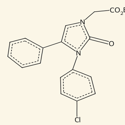 CCOC(=O)Cn1cc(-c2ccccc2)n(-c2ccc(Cl)cc2)c1=O